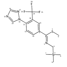 CS/C(=N\C[Si](C)(C)C)c1ccc(-n2cncn2)c(C(F)(F)F)c1